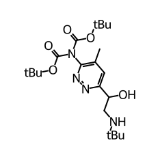 Cc1cc(C(O)CNC(C)(C)C)nnc1N(C(=O)OC(C)(C)C)C(=O)OC(C)(C)C